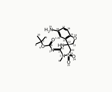 CN1/C(=N/C(=O)OC(C)(C)C)N[C@@]2(COc3ccc(N)cc32)CS1(=O)=O